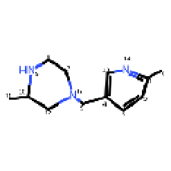 Cc1ccc(CN2CCNC(C)C2)cn1